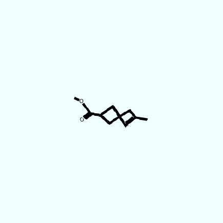 COC(=O)C1CC2(C=C(C)C2)C1